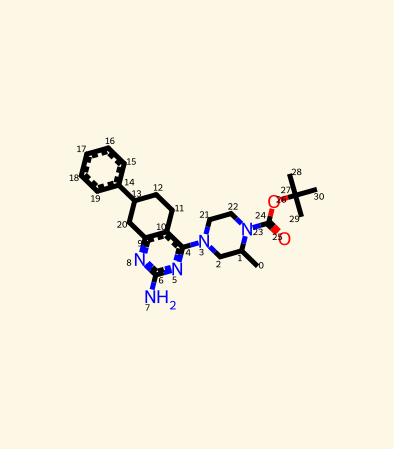 CC1CN(c2nc(N)nc3c2CCC(c2ccccc2)C3)CCN1C(=O)OC(C)(C)C